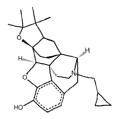 CC1(C)O[C@]23CC[C@@]4(CC2C1(C)C)[C@H]1Cc2ccc(O)c5c2[C@@]4(CCN1CC1CC1)[C@H]3O5